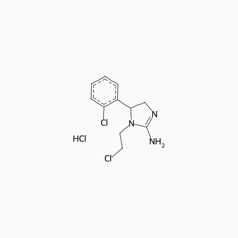 Cl.NC1=NCC(c2ccccc2Cl)N1CCCl